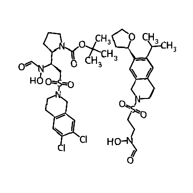 CC(C)(C)OC(=O)N1CCCC1[C@@H](CS(=O)(=O)N1CCc2cc(Cl)c(Cl)cc2C1)N(O)C=O.CC(C)c1cc2c(cc1[C@H]1CCCO1)CN(S(=O)(=O)CCN(O)C=O)CC2